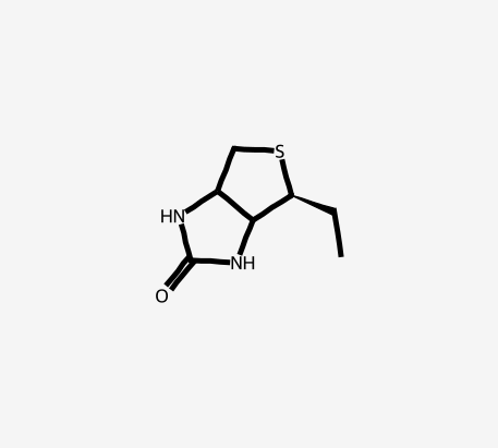 CC[C@@H]1SCC2NC(=O)NC21